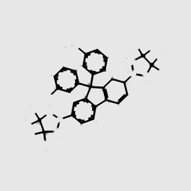 CCCCCCc1cccc(C2(c3cccc(C)c3)C3=C(C=CC(B4OC(C)(C)C(C)(C)O4)C3)c3ccc(B4OC(C)(C)C(C)(C)O4)cc32)c1